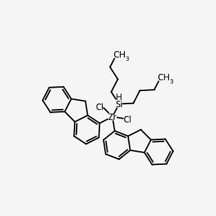 CCCC[SiH](CCCC)[Zr]([Cl])([Cl])([c]1cccc2c1Cc1ccccc1-2)[c]1cccc2c1Cc1ccccc1-2